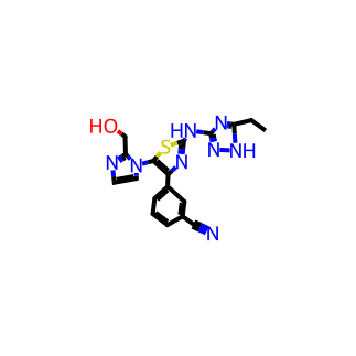 CCc1nc(Nc2nc(-c3cccc(C#N)c3)c(-n3ccnc3CO)s2)n[nH]1